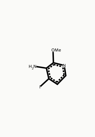 COc1nccc(I)c1N